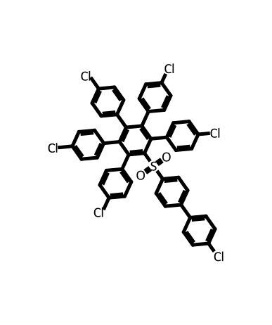 O=S(=O)(c1ccc(-c2ccc(Cl)cc2)cc1)c1c(-c2ccc(Cl)cc2)c(-c2ccc(Cl)cc2)c(-c2ccc(Cl)cc2)c(-c2ccc(Cl)cc2)c1-c1ccc(Cl)cc1